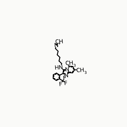 C#[N+]CCCCCCNc1c(-c2ccccc2C(F)(F)F)nc2cc(C)cc(C)n12